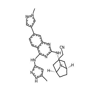 Cc1cc(Nc2nc(N[C@@H]3C[C@H]4CC[C@@H](C3)N4CCC#N)nc3cc(-c4cnn(C)c4)ccc23)n[nH]1